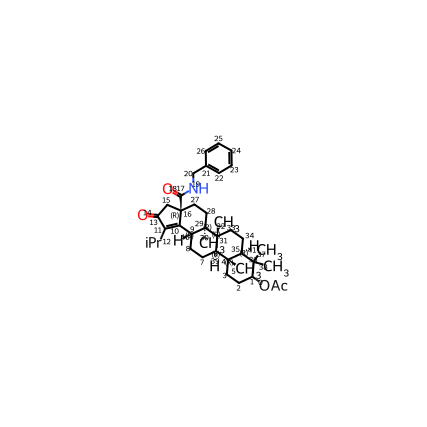 CC(=O)OC1CC[C@]2(C)[C@H]3CC[C@@H]4C5=C(C(C)C)C(=O)C[C@]5(C(=O)NCc5ccccc5)CC[C@@]4(C)[C@]3(C)CC[C@H]2C1(C)C